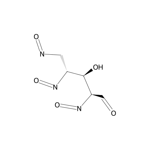 O=C[C@@H](N=O)[C@H](O)[C@@H](CN=O)N=O